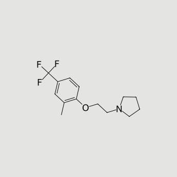 Cc1cc(C(F)(F)F)ccc1OCCN1CCCC1